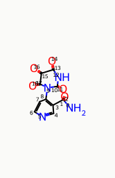 NC(=O)c1cnccc1N1C(=O)NC(=O)C(=O)C1=O